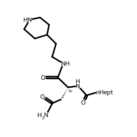 CCCCCCCC(=O)N[C@H](CC(N)=O)C(=O)NCCC1CCNCC1